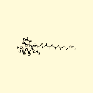 CCCCCCCCCCCCON(c1ccccc1)C(C)C(=O)OP(=O)(O)Cl